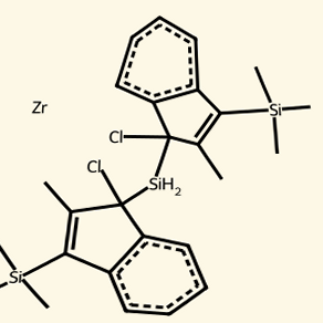 CC1=C([Si](C)(C)C)c2ccccc2C1(Cl)[SiH2]C1(Cl)C(C)=C([Si](C)(C)C)c2ccccc21.[Zr]